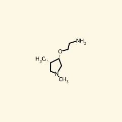 C[C@H]1CN(C)C[C@H]1OCCN